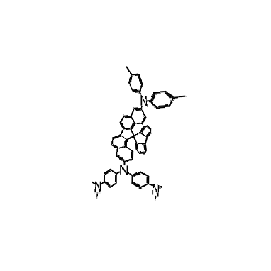 Cc1ccc(N(c2ccc(C)cc2)c2ccc3c4c(ccc3c2)-c2ccc3cc(N(c5ccc(N(C)C)cc5)c5ccc(N(C)C)cc5)ccc3c2C42c3ccccc3-c3ccccc32)cc1